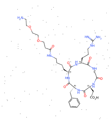 N=C(N)NCCC[C@@H]1NC(=O)[C@H](CCCCNC(=O)CCOCCOCCN)NC(=O)[C@@H](Cc2ccccc2)NC(=O)[C@H](CC(=O)O)NC(=O)CNC1=O